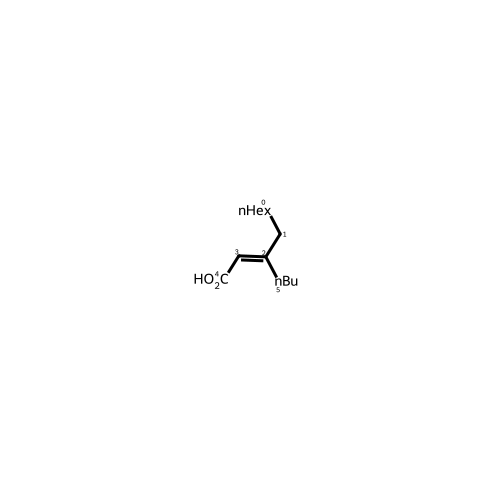 CCCCCCCC(=CC(=O)O)CCCC